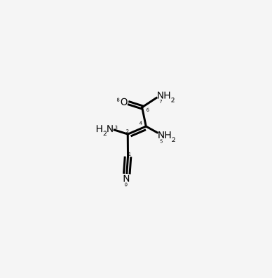 N#CC(N)=C(N)C(N)=O